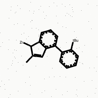 CC1=Cc2c(-c3ccccc3C(C)(C)C)cccc2[CH]1[Zr]